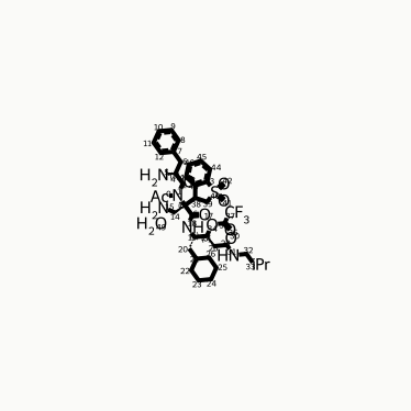 CC(=O)N(C(=O)[C@@H](N)Cc1ccccc1)[C@@](CN)(C(=O)N[C@@H](CC1CCCCC1)[C@H](CC(=O)NCC(C)C)OC(=O)C(F)(F)F)C1CS(=O)(=O)c2ccccc21.O